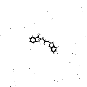 O=C1c2ccccc2CN1CC(O)CN1Cc2ccccc2C1